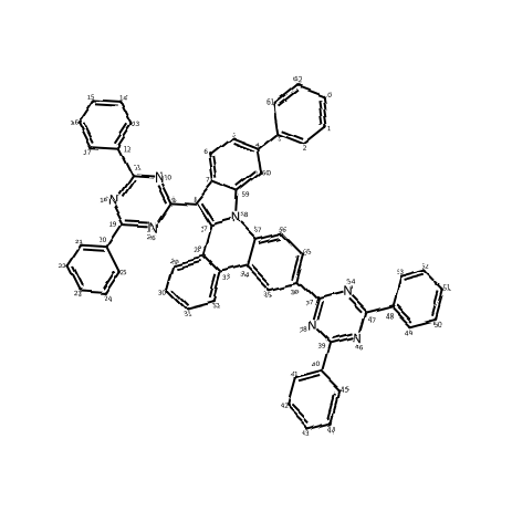 c1ccc(-c2ccc3c(-c4nc(-c5ccccc5)nc(-c5ccccc5)n4)c4c5ccccc5c5cc(-c6nc(-c7ccccc7)nc(-c7ccccc7)n6)ccc5n4c3c2)cc1